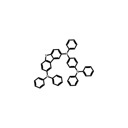 c1ccc(N(c2ccccc2)c2ccc(N(c3ccccc3)c3ccc4sc5ccc(N(c6ccccc6)c6ccccc6)cc5c4c3)cc2)cc1